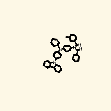 Cc1cccc(-c2nnc(-c3ccccc3)n2-c2ccc(N(c3ccccc3)c3ccc(-n4c5ccccc5c5ccccc54)cc3)cc2)c1